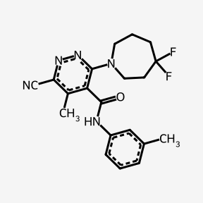 Cc1cccc(NC(=O)c2c(N3CCCC(F)(F)CC3)nnc(C#N)c2C)c1